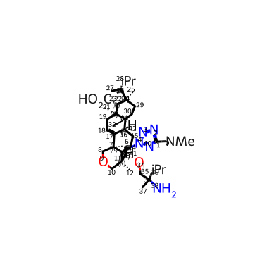 CNc1nnn([C@@H]2C[C@@]34COC[C@@](C)([C@@H]3CC[C@H]3C4=CC[C@@]4(C)[C@H](C(=O)O)[C@@](C)([C@H](C)C(C)C)CC[C@]34C)[C@H]2OCC(C)(N)C(C)C)n1